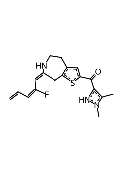 C=C/C=C(F)\C=C1/Cc2sc(C(=O)c3[nH]n(C)c3C)cc2CCN1